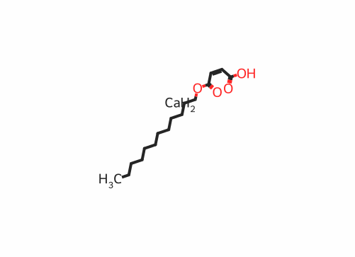 CCCCCCCCCCCCOC(=O)/C=C\C(=O)O.[CaH2]